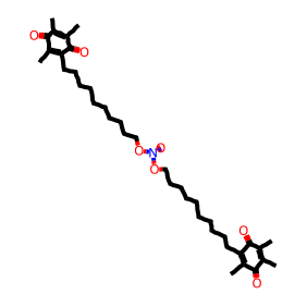 CC1=C(C)C(=O)C(CCCCCCCCCCO[N+](=O)OCCCCCCCCCCC2=C(C)C(=O)C(C)=C(C)C2=O)=C(C)C1=O